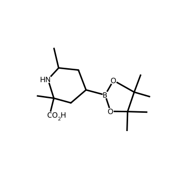 CC1CC(B2OC(C)(C)C(C)(C)O2)CC(C)(C(=O)O)N1